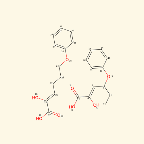 CCC(/C=C(\O)C(=O)O)Oc1ccccc1.O=C(O)/C(O)=C/CCCOc1ccccc1